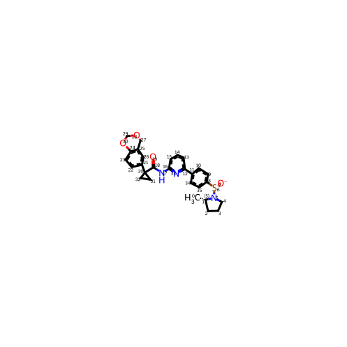 C[C@H]1CCCN1[S+]([O-])c1ccc(-c2cccc(NC(=O)C3(c4ccc5c(c4)COCO5)CC3)n2)cc1